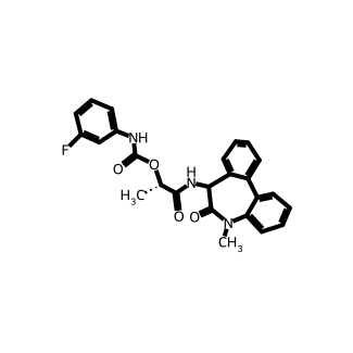 C[C@H](OC(=O)Nc1cccc(F)c1)C(=O)NC1C(=O)N(C)c2ccccc2-c2ccccc21